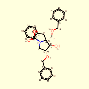 O=C(O)N1C[C@@H](OCc2ccccc2)[C@H](O)[C@]1(COCc1ccccc1)Cc1ccccc1